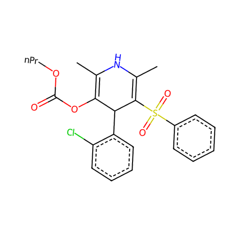 CCCOC(=O)OC1=C(C)NC(C)=C(S(=O)(=O)c2ccccc2)C1c1ccccc1Cl